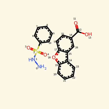 NNS(=O)(=O)c1ccccc1.O=C(O)c1ccc2oc3ccccc3c2c1